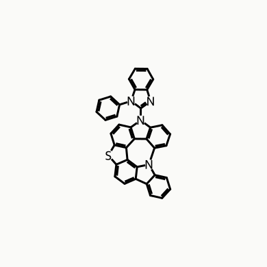 c1ccc(-n2c(-n3c4ccc5sc6ccc7c8ccccc8n8c9cccc3c9c4c5c6c78)nc3ccccc32)cc1